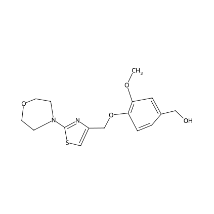 COc1cc(CO)ccc1OCc1csc(N2CCOCC2)n1